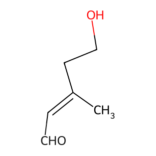 C/C(=C\C=O)CCO